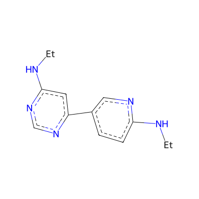 CCNc1ccc(-c2cc(NCC)ncn2)cn1